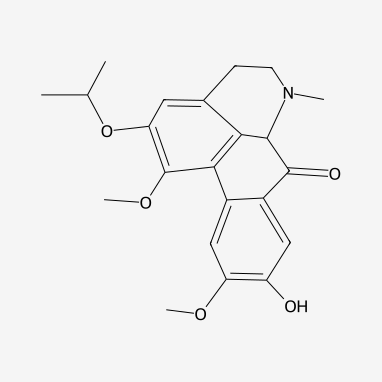 COc1cc2c(cc1O)C(=O)C1c3c(cc(OC(C)C)c(OC)c3-2)CCN1C